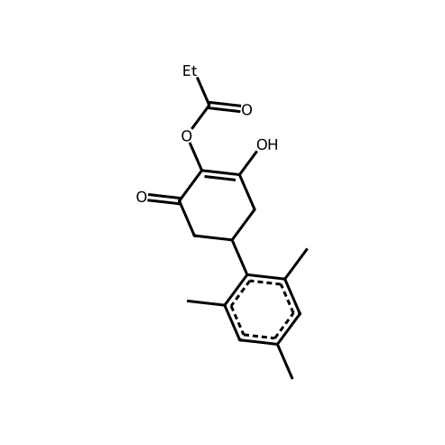 CCC(=O)OC1=C(O)CC(c2c(C)cc(C)cc2C)CC1=O